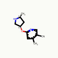 Cc1cc(O[C@H]2CN[C@@H](C)C2)ncc1C#N